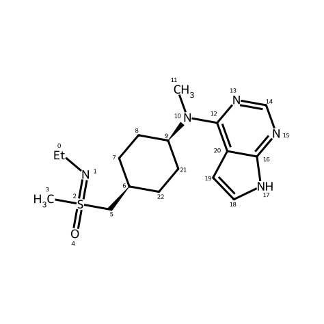 CCN=S(C)(=O)C[C@H]1CC[C@@H](N(C)c2ncnc3[nH]ccc23)CC1